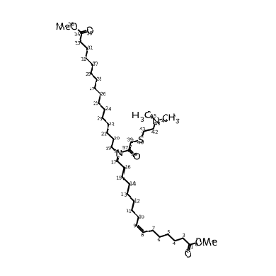 COC(=O)CCCCC/C=C\CCCCCCCCN(CCCCCCCCCCCCCCCC(=O)OC)C(=O)CSCCN(C)C